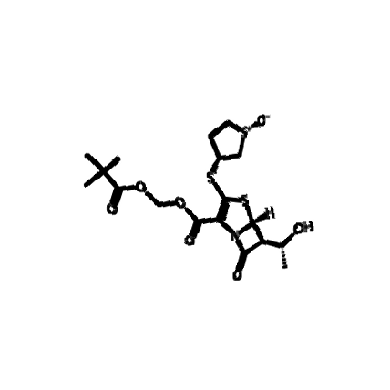 C[C@@H](O)[C@H]1C(=O)N2C(C(=O)OCOC(=O)C(C)(C)C)=C(S[C@H]3CC[S@@+]([O-])C3)S[C@H]12